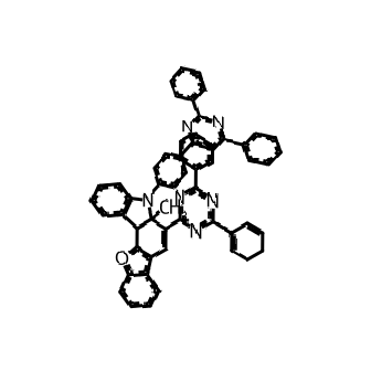 CC12C(c3nc(C4=CCCC=C4)nc(-c4ccccc4)n3)=Cc3c(oc4ccccc34)C1c1ccccc1N2c1ccc(-c2cc(-c3ccccc3)nc(-c3ccccc3)n2)cc1